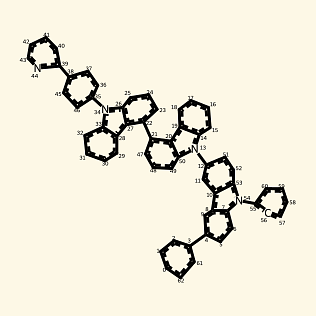 c1ccc(-c2ccc3c(c2)c2cc(-n4c5ccccc5c5c(-c6cccc7c6c6ccccc6n7-c6ccc(-c7ccccn7)cc6)cccc54)ccc2n3-c2ccccc2)cc1